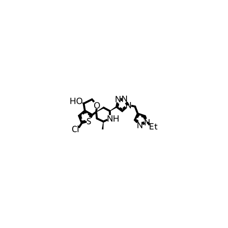 CCn1cc(Cn2cc([C@@H]3C[C@]4(C[C@H](C)N3)OC[C@@H](O)c3cc(Cl)sc34)nn2)cn1